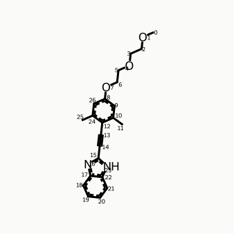 COCCOCCOc1cc(C)c(C#Cc2nc3ccccc3[nH]2)c(C)c1